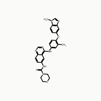 Cc1cc(Nc2ncnc3ccc(NC(=O)N4CCOCC4)cc23)ccc1Oc1ccc2c(c1)ncn2C